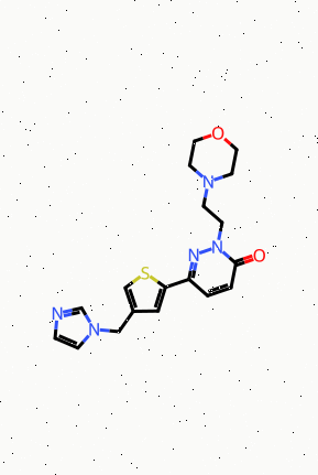 O=c1ccc(-c2cc(Cn3ccnc3)cs2)nn1CCN1CCOCC1